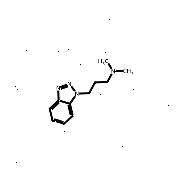 CN(C)[CH]CCn1nnc2ccccc21